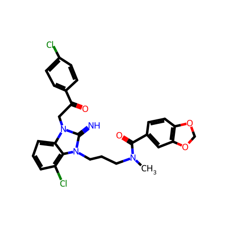 CN(CCCn1c(=N)n(CC(=O)c2ccc(Cl)cc2)c2cccc(Cl)c21)C(=O)c1ccc2c(c1)OCO2